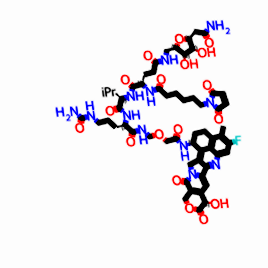 Cc1c(F)cc2nc3c(c4c2c1CC[C@@H]4NC(=O)COCNC(=O)[C@H](CCCNC(N)=O)NC(=O)[C@@H](NC(=O)[C@H](CCC(=O)NC[C@H]1O[C@@H](CC(N)=O)[C@H](O)[C@@H]1O)NC(=O)CCCCCN1C(=O)C=CC1=O)C(C)C)Cn1c-3cc2c(c1=O)COC(=O)[C@H]2O